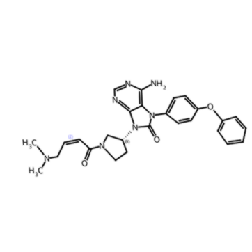 CN(C)C/C=C\C(=O)N1CC[C@@H](n2c(=O)n(-c3ccc(Oc4ccccc4)cc3)c3c(N)ncnc32)C1